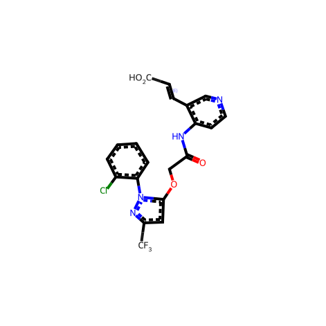 O=C(O)/C=C/c1cnccc1NC(=O)COc1cc(C(F)(F)F)nn1-c1ccccc1Cl